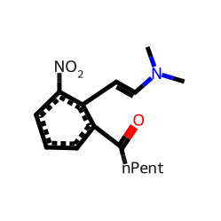 CCCCCC(=O)c1cccc([N+](=O)[O-])c1/C=C/N(C)C